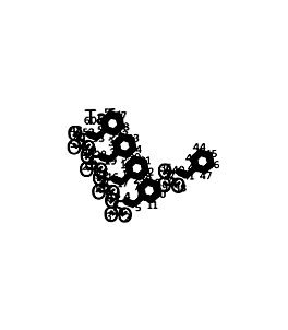 O=S(=O)([O-])C=Cc1ccccc1.O=S(=O)([O-])C=Cc1ccccc1.O=S(=O)([O-])C=Cc1ccccc1.O=S(=O)([O-])C=Cc1ccccc1.O=S(=O)([O-])C=Cc1ccccc1.[Ta+5]